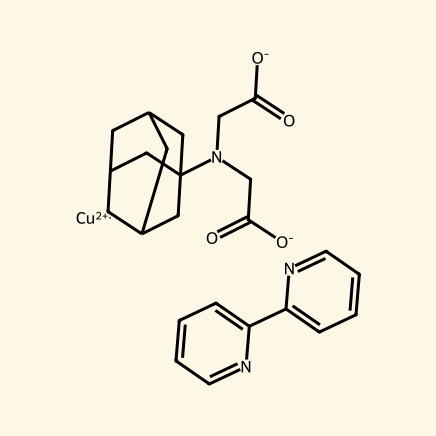 O=C([O-])CN(CC(=O)[O-])C12CC3CC(CC(C3)C1)C2.[Cu+2].c1ccc(-c2ccccn2)nc1